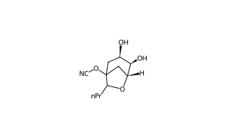 CCCC1O[C@@H]2CC1(OC#N)C[C@@H](O)[C@H]2O